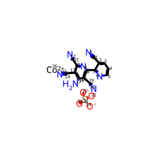 N#Cc1cccnc1-c1nc(C#N)c(C#N)c(N)c1C#N.O=S(=O)([O-])[O-].[Co+2]